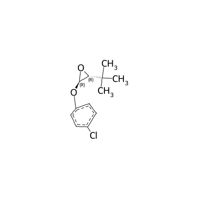 CC(C)(C)[C@H]1O[C@@H]1Oc1ccc(Cl)cc1